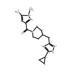 Cc1cc(C(=O)N2CCC(Cc3noc(C4CC4)n3)CC2)nn1C